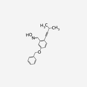 CC(C)C#Cc1ccc(OCc2ccccc2)cc1C=NO